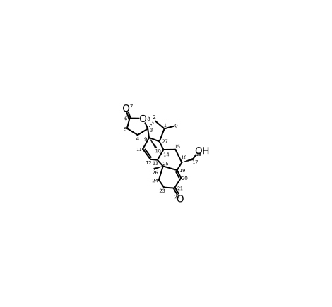 CC1C[C@@]2(CCC(=O)O2)[C@@]2(C)C=CC3C(C[C@@H](CO)C4=CC(=O)CC[C@@]43C)C12